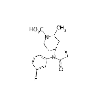 CC1CC2(C=CC(=O)N2c2cccc(F)c2)CCN1C(=O)O